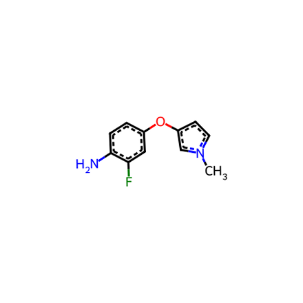 Cn1ccc(Oc2ccc(N)c(F)c2)c1